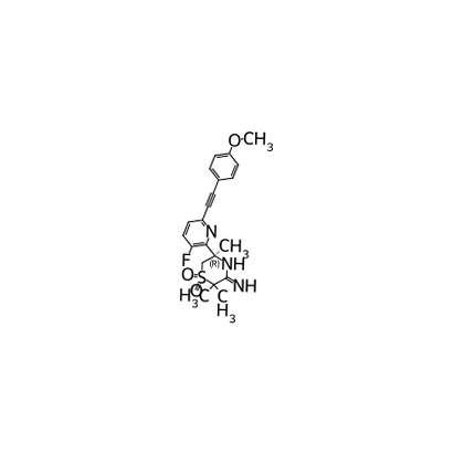 COc1ccc(C#Cc2ccc(F)c([C@]3(C)CS(=O)(=O)C(C)(C)C(=N)N3)n2)cc1